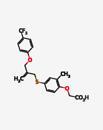 C=C(COc1ccc(C(F)(F)F)cc1)CSc1ccc(OCC(=O)O)c(C)c1